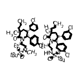 C=CC[C@@]1(C)C[C@H](c2cccc(Cl)c2)[C@@H](c2ccc(Cl)cc2)N([C@@H](CC)CN(C)S(=O)(=O)C(C)(C)C)C1=O.C=CC[C@@]1(C)C[C@H](c2cccc(Cl)c2)[C@@H](c2ccc(Cl)cc2)N([C@@H](CC)CNS(=O)(=O)C(C)(C)C)C1=O